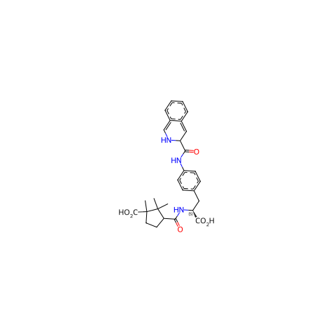 CC1(C(=O)O)CCC(C(=O)N[C@@H](Cc2ccc(NC(=O)C3C=c4ccccc4=CN3)cc2)C(=O)O)C1(C)C